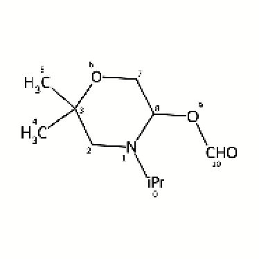 CC(C)N1CC(C)(C)OCC1OC=O